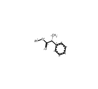 [CH2][C@@H](C(=O)OC(C)C)c1ccccc1